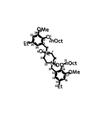 CCCCCCCCOc1c(C[N+]2([O-])CC[N+]([O-])(Cc3cc(CC)cc(OC)c3OCCCCCCCC)CC2)cc(CC)cc1OC